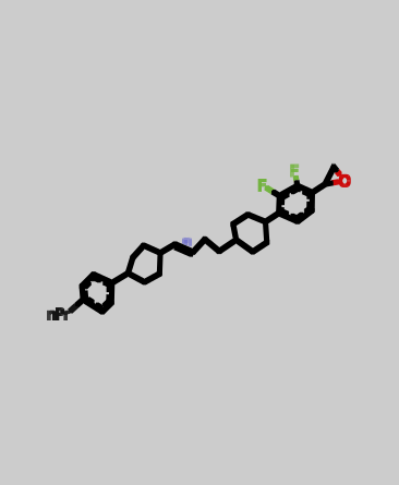 CCCc1ccc(C2CCC(/C=C/CCC3CCC(c4ccc(C5CO5)c(F)c4F)CC3)CC2)cc1